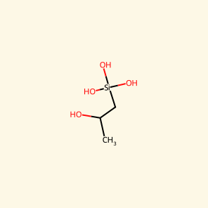 CC(O)C[Si](O)(O)O